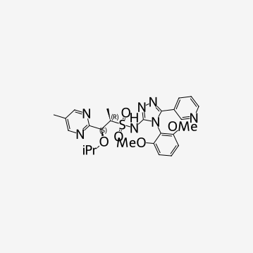 COc1cccc(OC)c1-n1c(NS(=O)(=O)[C@H](C)[C@@H](OC(C)C)c2ncc(C)cn2)nnc1-c1cccnc1